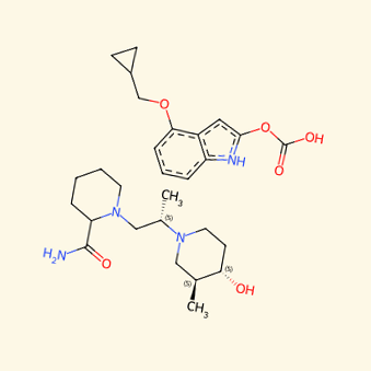 C[C@H]1CN([C@@H](C)CN2CCCCC2C(N)=O)CC[C@@H]1O.O=C(O)Oc1cc2c(OCC3CC3)cccc2[nH]1